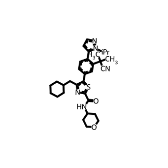 CC(C)n1nccc1-c1ccc(-c2sc(C(=O)NC3CCOCC3)nc2CC2CCCCC2)cc1C(C)(C)C#N